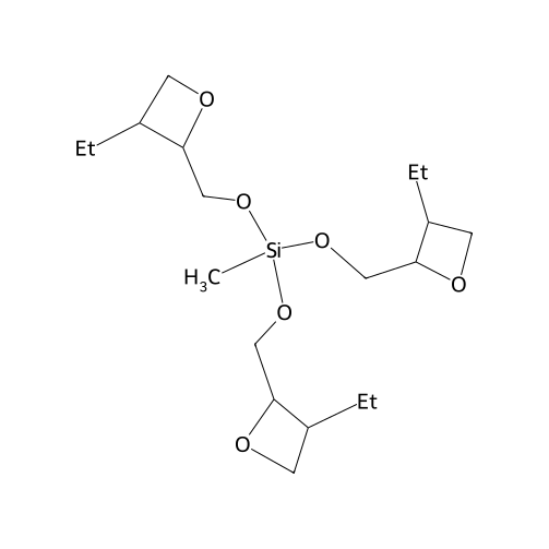 CCC1COC1CO[Si](C)(OCC1OCC1CC)OCC1OCC1CC